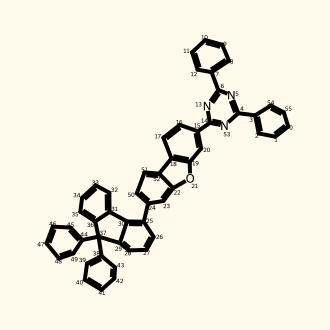 c1ccc(-c2nc(-c3ccccc3)nc(-c3ccc4c(c3)oc3cc(-c5cccc6c5-c5ccccc5C6(c5ccccc5)c5ccccc5)ccc34)n2)cc1